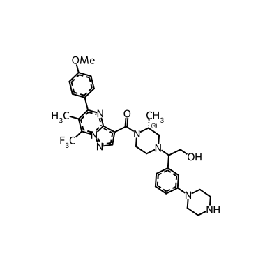 COc1ccc(-c2nc3c(C(=O)N4CCN(C(CO)c5cccc(N6CCNCC6)c5)C[C@H]4C)cnn3c(C(F)(F)F)c2C)cc1